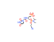 CCN(C(C)C)P(OCCC#N)OCC(/C=C/P(=O)(OC)OC)NC(=O)Cn1ccc(=O)[nH]c1=O